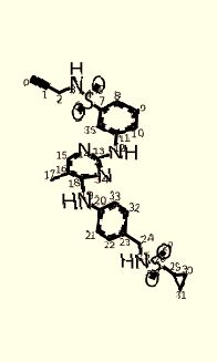 C#CCNS(=O)(=O)c1cccc(Nc2ncc(C)c(Nc3ccc(CNS(=O)(=O)C4CC4)cc3)n2)c1